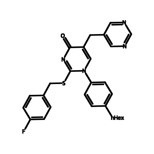 CCCCCCc1ccc(-n2cc(Cc3cncnc3)c(=O)nc2SCc2ccc(F)cc2)cc1